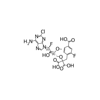 CO[C@H](COC(Cc1ccc(C(=O)O)cc1F)(C(=O)O)C(=O)O)[C@@H](O)[C@H](F)n1cnc2c(N)nc(Cl)nc21